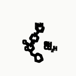 O=C(O)O.O=C1OC(CC2CCCCC2)CN1N1CCN(c2ccnnc2)CC1